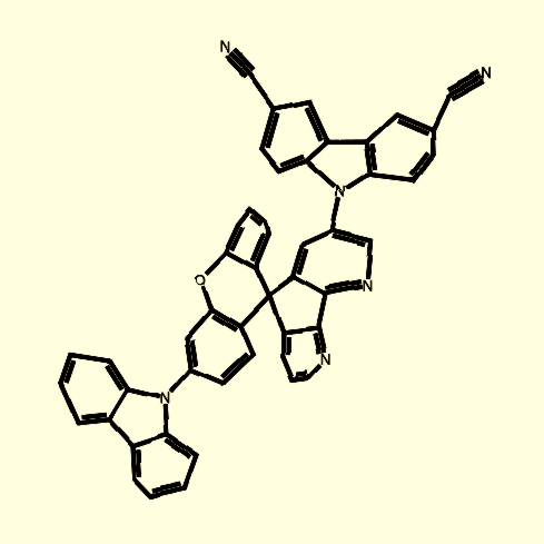 N#Cc1ccc2c(c1)c1cc(C#N)ccc1n2-c1cnc2c(c1)C1(c3ccccc3Oc3cc(-n4c5ccccc5c5ccccc54)ccc31)c1cccnc1-2